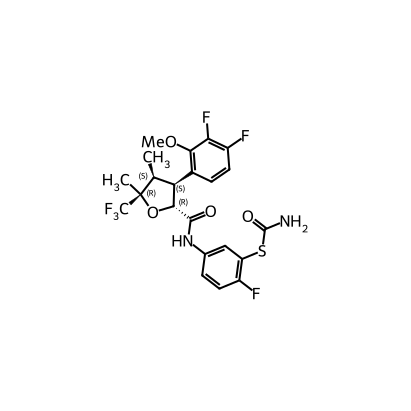 COc1c([C@H]2[C@H](C(=O)Nc3ccc(F)c(SC(N)=O)c3)O[C@@](C)(C(F)(F)F)[C@H]2C)ccc(F)c1F